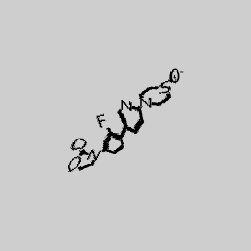 O=C1OCCN1c1ccc(-c2ccc(N3CC[S+]([O-])CC3)nc2)c(F)c1